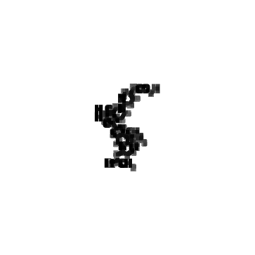 C=C(/C=C(\C=C/CC)N1Cc2sc(C(=O)N3CCN(C4CC=C(CC(=O)O)C=N4)CC3(C)C)nc2C(C)(C)C1)CC